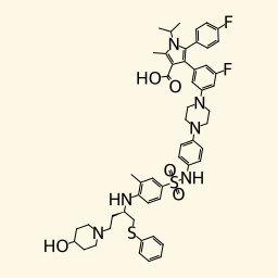 Cc1cc(S(=O)(=O)Nc2ccc(N3CCN(c4cc(F)cc(-c5c(C(=O)O)c(C)n(C(C)C)c5-c5ccc(F)cc5)c4)CC3)cc2)ccc1N[C@H](CCN1CCC(O)CC1)CSc1ccccc1